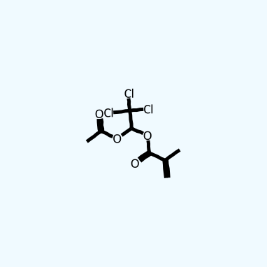 C=C(C)C(=O)OC(OC(C)=O)C(Cl)(Cl)Cl